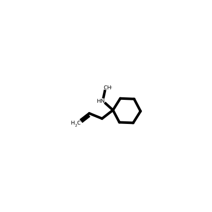 [CH]NC1(CC=C)CCCCC1